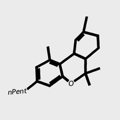 CCCCCc1cc(C)c2c(c1)OC(C)(C)C1CCC(C)=CC21